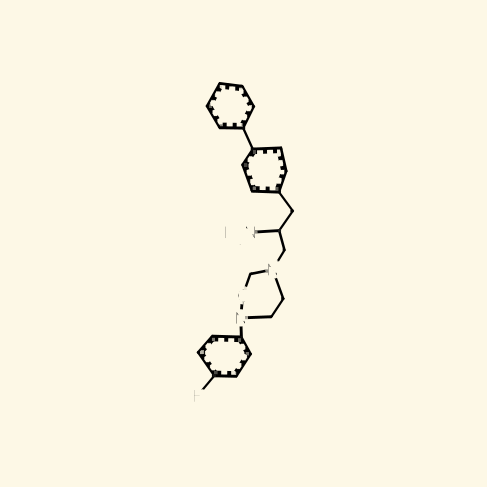 NC(Cc1ccc(-c2ccccc2)cc1)CN1CCN(c2ccc(F)cc2)CC1